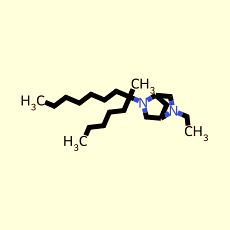 CCCCCCCC(C)(CCCCC)N1CC2CC1CN2CC